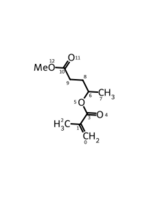 C=C(C)C(=O)OC(C)CCC(=O)OC